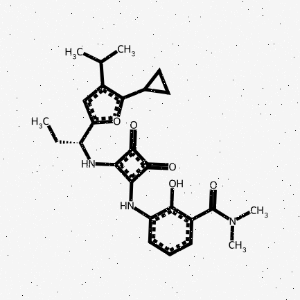 CC[C@@H](Nc1c(Nc2cccc(C(=O)N(C)C)c2O)c(=O)c1=O)c1cc(C(C)C)c(C2CC2)o1